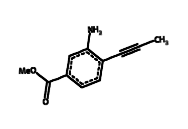 CC#Cc1ccc(C(=O)OC)cc1N